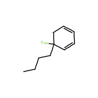 CCCCC1(F)[CH]C=CC=C1